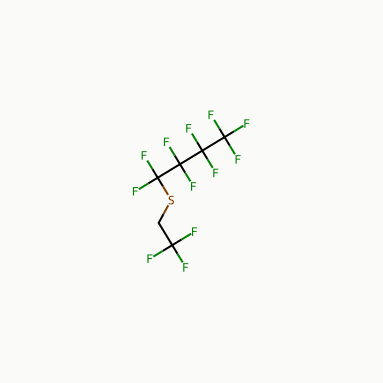 FC(F)(F)CSC(F)(F)C(F)(F)C(F)(F)C(F)(F)F